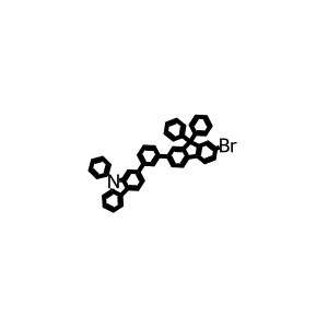 Brc1ccc2c(c1)C(c1ccccc1)(c1ccccc1)c1cc(-c3cccc(-c4ccc5c6ccccc6n(-c6ccccc6)c5c4)c3)ccc1-2